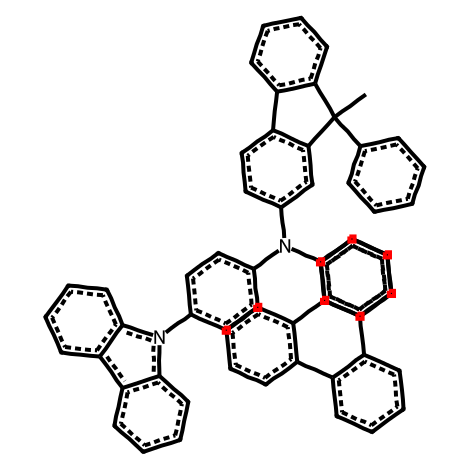 CC1(c2ccccc2)c2ccccc2-c2ccc(N(c3ccc(-n4c5ccccc5c5ccccc54)cc3)c3ccccc3-c3ccccc3-c3ccccc3-c3ccccc3)cc21